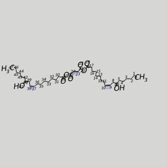 CCCCCC[C@@H](O)C/C=C\CCCCCCCC(=O)OC(=O)/C=C/C(=O)OC(=O)CCCCCCC/C=C\C[C@H](O)CCCCCC